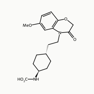 COc1ccc2c(c1)N(CC[C@H]1CC[C@H](NC(=O)O)CC1)C(=O)CO2